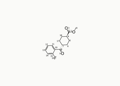 COC(=O)[C@H]1CC[C@H](C(=O)c2ccccc2F)CC1